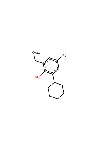 COCc1cc(C(C)=O)cc(C2CCCCC2)c1O